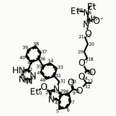 CCOc1nc2cccc(C(=O)OC(C)OC(=O)OCCCCO/N=[N+](\[O-])N(CC)CC)c2n1Cc1ccc(-c2ccccc2-c2nnn[nH]2)cc1